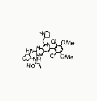 C=CC(O)N[C@H]1COC[C@H]1Nc1ncc2cc(-c3c(Cl)c(OC)cc(OC)c3Cl)nc(CC3CCCN3C)c2n1